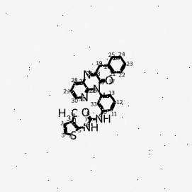 Cc1ccsc1NC(=O)Nc1cccc(-n2c(=O)c(Cc3ccccc3)nc3cccnc32)c1